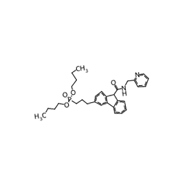 CCCCOP(=O)(CCCc1ccc2c(c1)-c1ccccc1C2C(=O)NCc1ccccn1)OCCCC